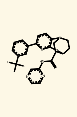 C=C(Nc1cnccn1)N1c2nc(-c3cccc(C(C)(F)F)c3)ccc2N2CCC1CC2